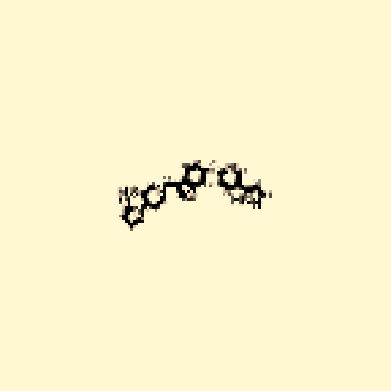 O=C1CCCN1C1CCN(Cc2coc3cc(Oc4ccc(-c5ccn[nH]5)cn4)ccc23)C[C@H]1O